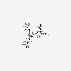 Nc1ncc(-c2cc(N3CCC(F)(F)C3)nc(N3CC4C(C3)C4(Cl)Cl)n2)cc1OC(F)F